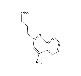 CCCCCCCCCCCCc1cc(N)c2ccccc2n1